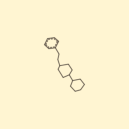 c1ccc(CCC2CCC(C3CCCCC3)CC2)cc1